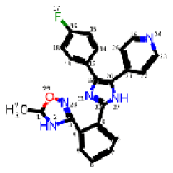 CC1NC(c2ccccc2-c2nc(-c3ccc(F)cc3)c(-c3ccncc3)[nH]2)=NO1